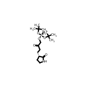 CC(C)(C)OP(=O)(OCC(=O)CC[C@H]1CCNC1=O)OC(C)(C)C